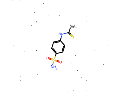 CNC(=S)Nc1ccc(S(N)(=O)=O)cc1